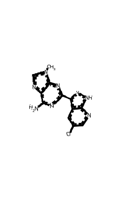 Cn1cnc2c(N)nc(-c3n[nH]c4ncc(Cl)cc34)nc21